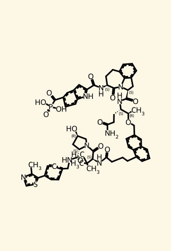 Cc1ncsc1-c1ccc(CNC(=O)[C@@H]2C[C@@H](O)CN2C(=O)[C@@H](NC(=O)CCCc2cccc3cc(CO[C@H](C)[C@H](CCC(N)=O)NC(=O)[C@@H]4Cc5cccc6c5N4C(=O)[C@@H](NC(=O)c4cc5cc(C(=O)P(=O)(O)O)ccc5[nH]4)CC6)ccc23)C(C)(C)C)cc1